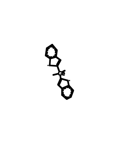 [CH3][Ge]([CH3])([C]1=Cc2ccccc2[CH]1)[C]1=Cc2ccccc2[CH]1